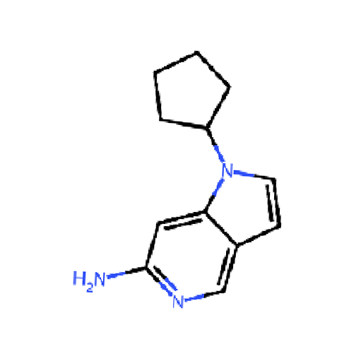 Nc1cc2c(ccn2C2CCCC2)cn1